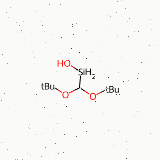 CC(C)(C)OC(OC(C)(C)C)[SiH2]O